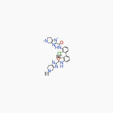 CCN1CCc2c(nc(C(=O)Nc3cccc(-c4cccc(NC(=O)c5nc6c(n5C)CCN(C)C6)c4Cl)c3C#N)n2C)C1